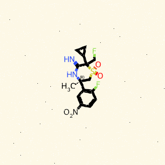 C[C@@]1(c2cc([N+](=O)[O-])ccc2F)CS(=O)(=O)C(CF)(C2CC2)C(=N)N1